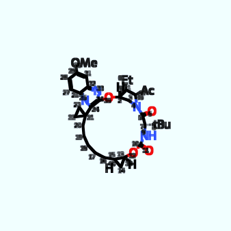 CC[C@@H]1[C@@H]2CN(C(=O)[C@H](C(C)(C)C)NC(=O)O[C@@H]3C[C@H]3CCCCCC3(CC3)c3nc4ccc(OC)cc4nc3O2)[C@@H]1C(C)=O